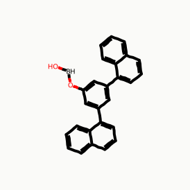 OBOc1cc(-c2cccc3ccccc23)cc(-c2cccc3ccccc23)c1